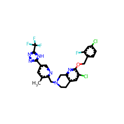 Cc1cc(-c2nnc(C(F)(F)F)[nH]2)cnc1CN1CCc2cc(Cl)c(OCc3ccc(Cl)cc3F)nc2C1